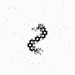 CN(C)c1ccc2ccc3ccc(-c4ccc(-c5ccc6ccc7ccc(N(C)C)nc7c6n5)cc4)nc3c2n1